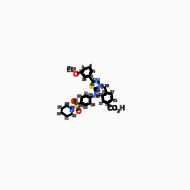 CCOc1cccc(-c2nn(Cc3ccc(C(=O)O)cc3)c(=Nc3ccc(S(=O)(=O)N4CCCCC4)cc3)s2)c1